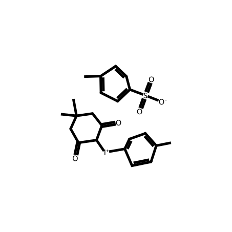 Cc1ccc(S(=O)(=O)[O-])cc1.Cc1ccc([I+]C2C(=O)CC(C)(C)CC2=O)cc1